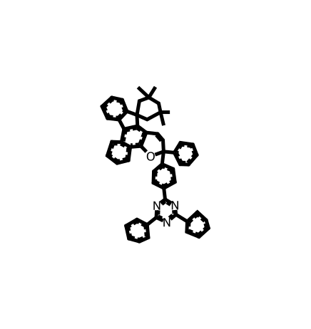 CC1(C)CC(C)(C)CC2(C1)c1ccccc1-c1c2c2c(c3ccccc13)OC(c1ccccc1)(c1ccc(-c3nc(-c4ccccc4)nc(-c4ccccc4)n3)cc1)C=C2